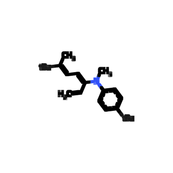 C=C/C(=C\C=C(/C)C(C)(C)C)N(C)c1ccc(C(C)(C)C)cc1